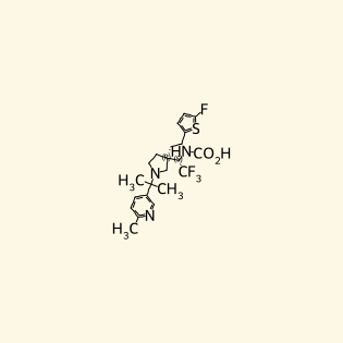 Cc1ccc(C(C)(C)N2CC[C@@](CCc3ccc(F)s3)([C@H](NC(=O)O)C(F)(F)F)C2)cn1